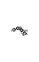 COC(=O)[C@H](CC(C)C)Nc1ccc2c(c1)oc1ccc(C3=CCN(C)CC3)cc12